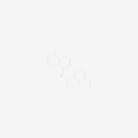 Cc1cc(NC(C)c2cccc(C(F)F)c2F)c2ccc(Br)c(Cl)c2n1